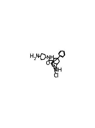 N[C@H]1CC[C@H](NC(=O)C23CC4CC(c5ccccc5)(CC(C2)N4NCCl)C3)CC1